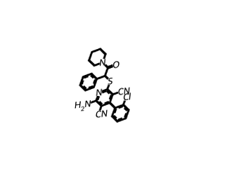 N#Cc1c(N)nc(SC(C(=O)N2CCCCC2)c2ccccc2)c(C#N)c1-c1ccccc1Cl